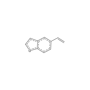 C=Cc1ccc2occc2c1